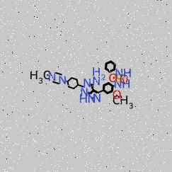 COc1cc(-c2n[nH]c3nc(C4CCC(N5CCN(C)CC5)CC4)nc(N)c23)ccc1NS(=O)(=O)Nc1ccccc1